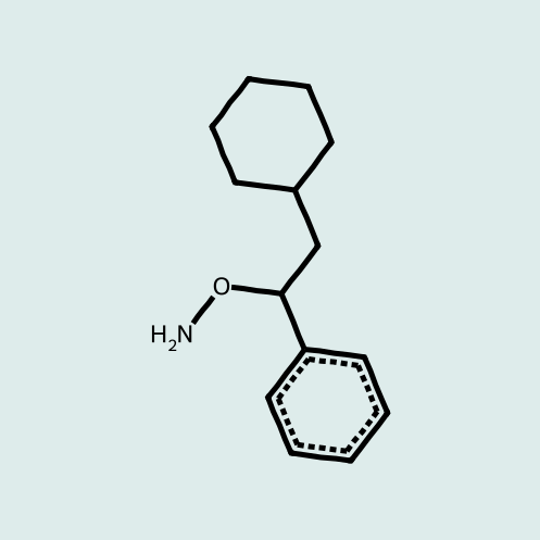 NOC(CC1CCCCC1)c1ccccc1